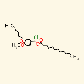 CCCCCCCCCCCC(=O)OC(Cl)C1=CCC(OC)(OCCCCCC)C=C1